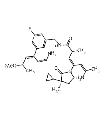 COC(C)/C=C(\C=C/N)c1cc(F)cc(CNC(=O)C(C)/C=C(\C=C(\C)N)N2CC[C@@](C)(C3CC3)C2=O)c1